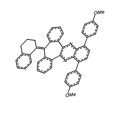 COc1ccc(-c2ccc(-c3ccc(OC)cc3)c3nc4c(nc23)-c2ccccc2C(=C2CCCc3ccccc32)c2ccccc2-4)cc1